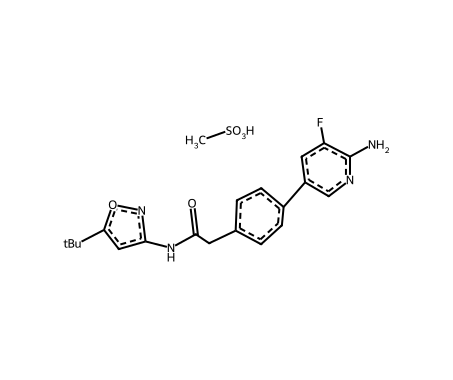 CC(C)(C)c1cc(NC(=O)Cc2ccc(-c3cnc(N)c(F)c3)cc2)no1.CS(=O)(=O)O